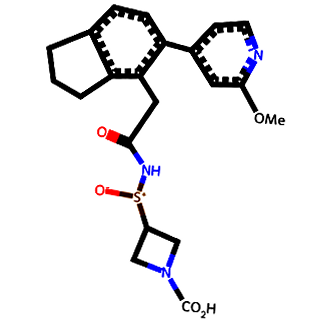 COc1cc(-c2ccc3c(c2CC(=O)N[S+]([O-])C2CN(C(=O)O)C2)CCC3)ccn1